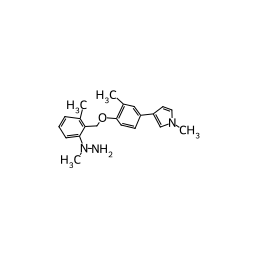 Cc1cc(-c2ccn(C)c2)ccc1OCc1c(C)cccc1N(C)N